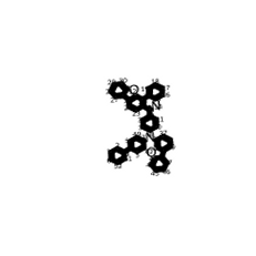 c1ccc(-c2ccc(N(c3ccc(-c4nc5ccccc5c5c4ccc4c6ccccc6oc45)cc3)c3cccc4c3oc3ccccc34)cc2)cc1